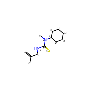 C=C(C)CNC(=S)N(C)C1CCCCC1